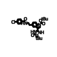 CC(C)(C)OC(=O)NC(=N)c1cn(C(=O)OC(C)(C)C)c2ccc(CCNC(=O)c3ccc(Cl)cc3)cc12